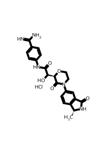 C[C@H]1NC(=O)c2cc(N3CCO[C@H](C(O)C(=O)Nc4ccc(C(=N)N)cc4)C3=O)ccc21.Cl